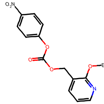 CCOc1ncccc1COC(=O)Oc1ccc([N+](=O)[O-])cc1